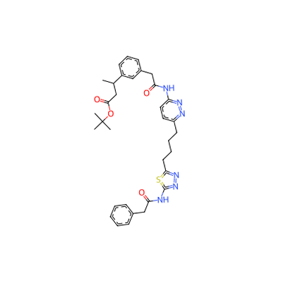 CC(CC(=O)OC(C)(C)C)c1cccc(CC(=O)Nc2ccc(CCCCc3nnc(NC(=O)Cc4ccccc4)s3)nn2)c1